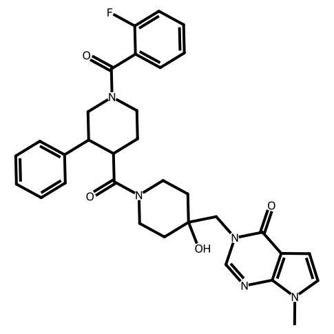 Cn1ccc2c(=O)n(CC3(O)CCN(C(=O)C4CCN(C(=O)c5ccccc5F)CC4c4ccccc4)CC3)cnc21